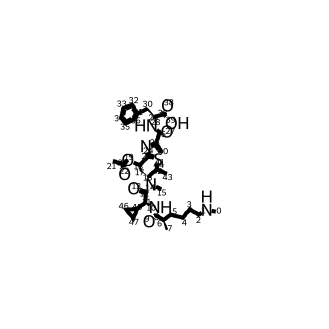 CNCCCC[C@@H](C)C(=O)N[C@H](C(=O)N(C)[C@H](C[C@@H](OC(C)=O)c1nc(C(=O)N[C@@H](Cc2ccccc2)C(=O)O)cs1)C(C)C)C1CC1